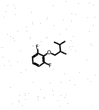 CC(C)C(C)COc1c(F)cccc1F